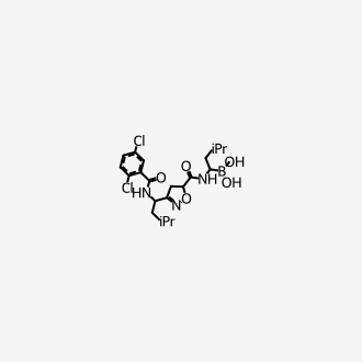 CC(C)CC(NC(=O)C1CC(C(CC(C)C)NC(=O)c2cc(Cl)ccc2Cl)=NO1)B(O)O